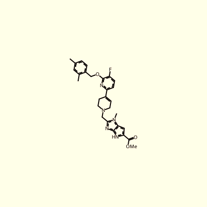 COC(=O)c1cc2c(nc(CN3CC=C(c4ccc(F)c(OCc5ccc(C)cc5C)n4)CC3)n2C)[nH]1